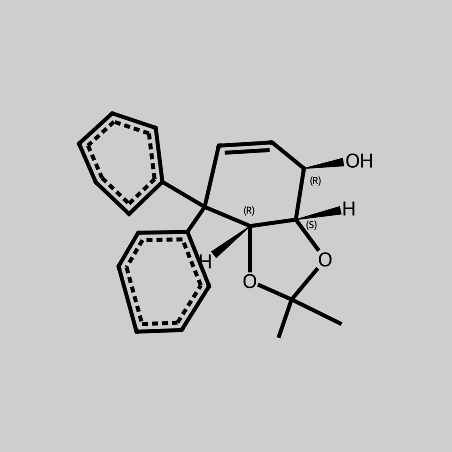 CC1(C)O[C@H]2[C@H](O)C=CC(c3ccccc3)(c3ccccc3)[C@H]2O1